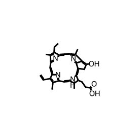 C=CC1=C(C)C2=NC1=CC1=NC(=CC3=C(C)C4=C(O)CC(=C5NC(=C2)C(C)C5CCC(=O)O)C4=N3)C(CC)=C1C